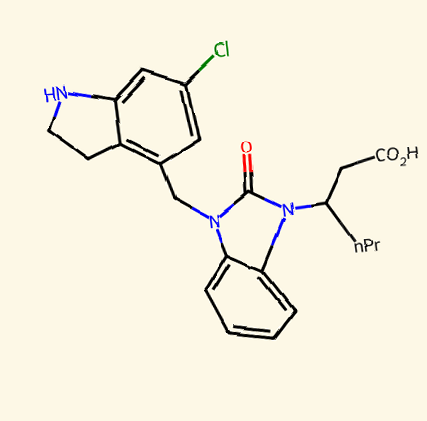 CCCC(CC(=O)O)n1c(=O)n(Cc2cc(Cl)cc3c2CCN3)c2ccccc21